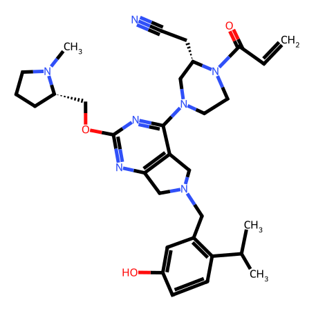 C=CC(=O)N1CCN(c2nc(OC[C@@H]3CCCN3C)nc3c2CN(Cc2cc(O)ccc2C(C)C)C3)C[C@@H]1CC#N